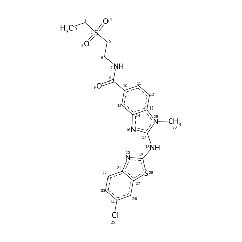 CCS(=O)(=O)CCNC(=O)c1ccc2c(c1)nc(Nc1nc3ccc(Cl)cc3s1)n2C